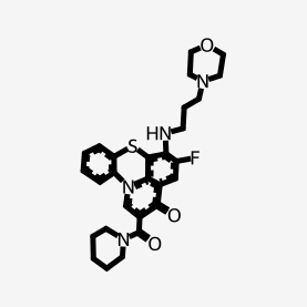 O=C(c1cn2c3c(c(NCCCN4CCOCC4)c(F)cc3c1=O)Sc1ccccc1-2)N1CCCCC1